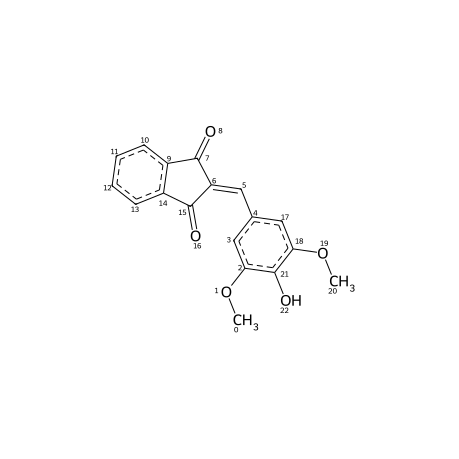 COc1cc(C=C2C(=O)c3ccccc3C2=O)cc(OC)c1O